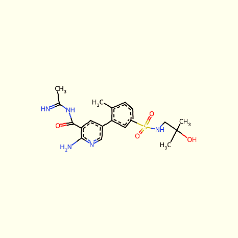 CC(=N)NC(=O)c1cc(-c2cc(S(=O)(=O)NCC(C)(C)O)ccc2C)cnc1N